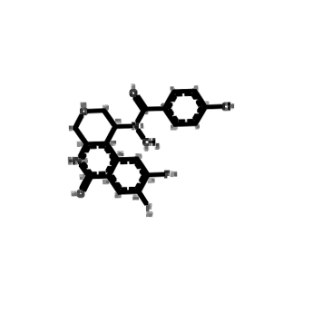 CN(C(=O)c1ccc(Cl)cc1)C1COCc2[nH]c(=O)c3cc(F)c(F)cc3c21